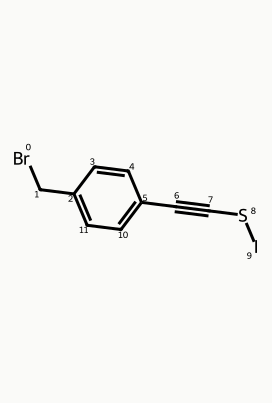 BrCc1ccc(C#CSI)cc1